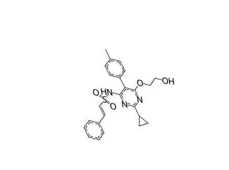 Cc1ccc(-c2c(NS(=O)(=O)C=Cc3ccccc3)nc(C3CC3)nc2OCCO)cc1